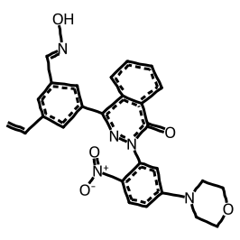 C=Cc1cc(C=NO)cc(-c2nn(-c3cc(N4CCOCC4)ccc3[N+](=O)[O-])c(=O)c3ccccc23)c1